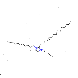 CCCCCCCCCCCCCCCc1n(CCCCCCCCCCC)cc[n+]1CCCCC